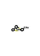 CSc1cccc(SCc2cccc(-c3ccccc3S)c2SC)c1